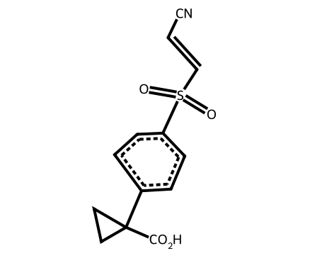 N#C/C=C/S(=O)(=O)c1ccc(C2(C(=O)O)CC2)cc1